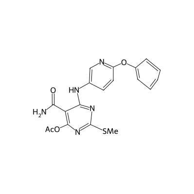 CSc1nc(Nc2ccc(Oc3ccccc3)nc2)c(C(N)=O)c(OC(C)=O)n1